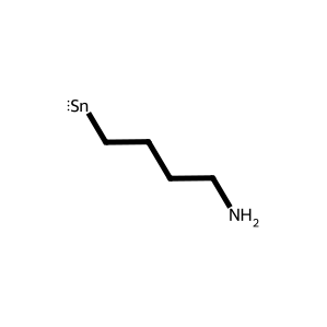 NCCC[CH2][Sn]